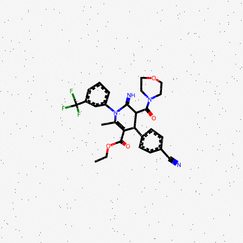 CCOC(=O)C1=C(C)N(c2cccc(C(F)(F)F)c2)C(=N)C(C(=O)N2CCOCC2)C1c1ccc(C#N)cc1